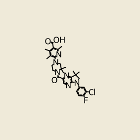 Cc1nc(N2CCN(C(=O)c3cnc4c(n3)C(C)(C)CN4c3ccc(F)c(Cl)c3)C(C)(C)C2)c(C)c(C)c1C(=O)O